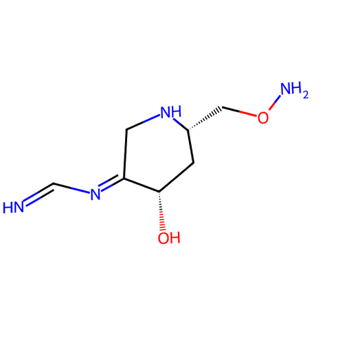 N=CN=C1CN[C@H](CON)C[C@@H]1O